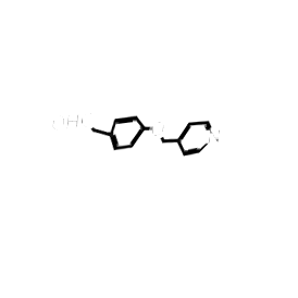 O=[C]Cc1ccc(OCc2ccncc2)cc1